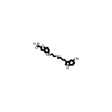 N#Cc1ccc2[nH]cc(CCCCNCCNc3ccc4oc(C(N)=O)cc4c3)c2c1